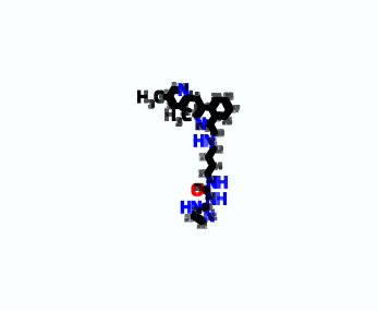 Cc1cnc(Cc2cnc(CNCCCCNC(=O)Nc3ncc[nH]3)c3ccccc23)c(C)c1